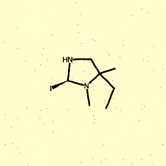 CCC1(C)CN[C@H](I)N1C